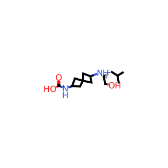 CC(C)C[C@H](CO)NC1CC2(CC(NC(=O)O)C2)C1